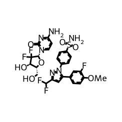 COc1ccc(-c2cc(C(F)F)nn2-c2ccc(S(N)(=O)=O)cc2)cc1F.Nc1ccn([C@@H]2O[C@H](CO)[C@@H](O)C2(F)F)c(=O)n1